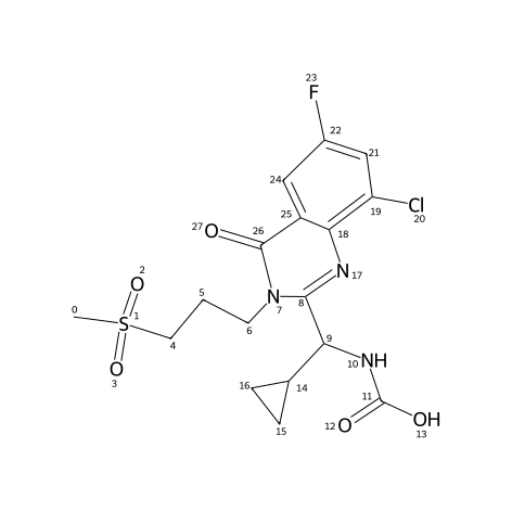 CS(=O)(=O)CCCn1c(C(NC(=O)O)C2CC2)nc2c(Cl)cc(F)cc2c1=O